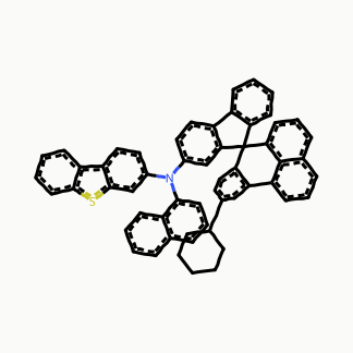 c1ccc2c(c1)-c1ccc(N(c3ccc4c(c3)sc3ccccc34)c3cccc4ccccc34)cc1C21c2ccc(C3CCCCC3)cc2-c2cccc3cccc1c23